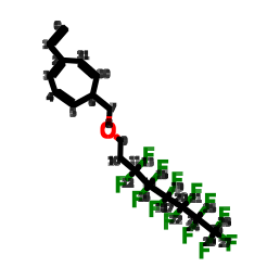 C=CC1=CC=CC(COCCC(F)(F)C(F)(F)C(F)(F)C(F)(F)C(F)(F)C(F)(F)F)C=C1